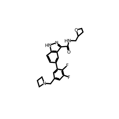 O=C(NCC1CCO1)c1n[nH]c2ccc(-c3cc(CN4CCC4)cc(F)c3F)cc12